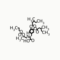 CCCOC(=O)OC(C)CN[C@@H](Cc1ccc(OC(=O)CC(C)CC)c(OC(=O)CC(C)CC)c1)C(=O)O